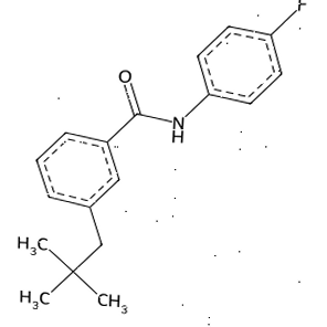 CC(C)(C)Cc1cccc(C(=O)Nc2ccc(F)cc2)c1